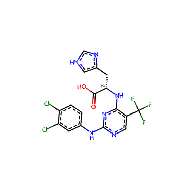 O=C(O)[C@H](Cc1c[nH]cn1)Nc1nc(Nc2ccc(Cl)c(Cl)c2)ncc1C(F)(F)F